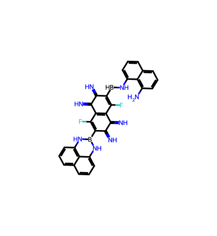 N=c1c(BNc2cccc3cccc(N)c23)c(F)c2c(=N)c(=N)c(B3Nc4cccc5cccc(c45)N3)c(F)c=2c1=N